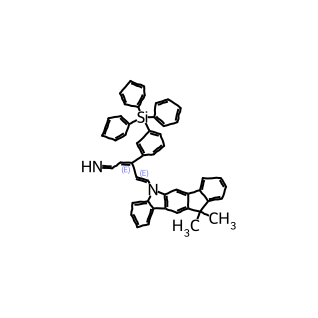 CC1(C)c2ccccc2-c2cc3c(cc21)c1ccccc1n3/C=C/C(=C\C=N)c1cccc([Si](c2ccccc2)(c2ccccc2)c2ccccc2)c1